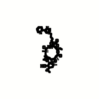 CC[C@H]1OC(=O)[C@H](C)C(=O)[C@H](C)[C@@H](O[C@@H]2O[C@H](C)CC(N(C)C)C2O)[C@](C)(OC)C[C@@H](C)C(=O)N[C@H](C)[C@H]2N(CCCCn3cc(-c4ccccn4)nn3)C(=O)O[C@]12C